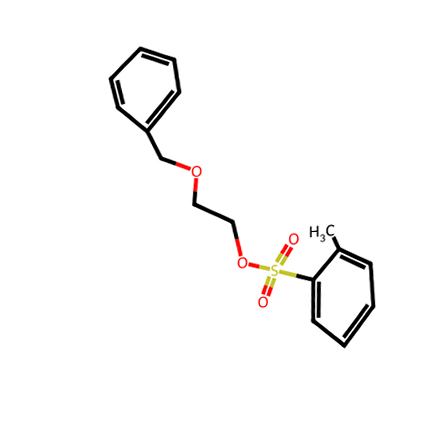 Cc1ccccc1S(=O)(=O)OCCOCc1ccccc1